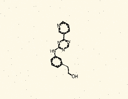 OCCc1cccc(Nc2ncnc(-c3cccnc3)n2)c1